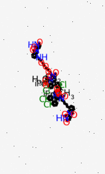 C=C(C)[C@H](CS(=O)(=O)C(C)C)N1C(=O)[C@]2(CC(=O)N2CCOCCOCCOCCNc2cccc3c2CN(C2CCC(=O)NC2=O)C3=O)C[C@@H](c2ccc(CC(C)S(=O)(=O)C[C@H](C(C)C)N3C(=O)[C@@]4(CC(=O)N4CCCCCc4cccc5c4CN(C4CCC(=O)NC4=O)C5=O)C[C@H](c4cccc(Cl)c4)[C@H]3c3ccc(Cl)cc3)c(Cl)c2)[C@@H]1c1ccc(Cl)cc1